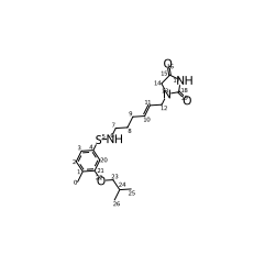 Cc1ccc(SNCCC/C=C/CN2CC(=O)NC2=O)cc1OCC(C)C